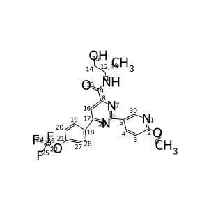 COc1ccc(-c2nc(C(=O)N[C@@H](C)CO)cc(-c3ccc(OC(F)(F)F)cc3)n2)cn1